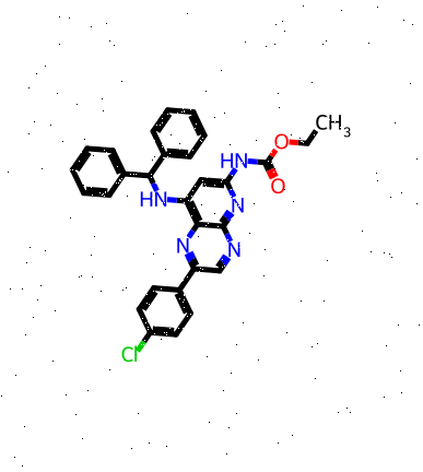 CCOC(=O)Nc1cc(NC(c2ccccc2)c2ccccc2)c2nc(-c3ccc(Cl)cc3)cnc2n1